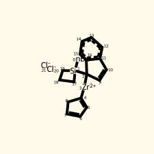 CCCC[Si]1([C]2([Zr+2][C]3=CC=CC3)C=Cc3ccccc32)CCC1.[Cl-].[Cl-]